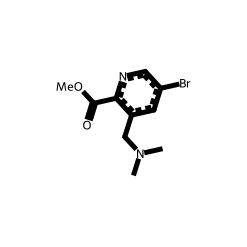 COC(=O)c1ncc(Br)cc1CN(C)C